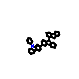 c1ccc(-n2c3ccccc3c3ccc(-c4ccc5c(c4)-c4ccccc4C5c4cccc5c4Cc4ccccc4-5)cc32)cc1